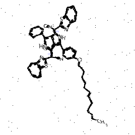 [C-]#[N+]/C(c1nc2ccccc2s1)=c1/[nH]c(-c2ccc(OCCCCCCCCCCCC)cc2)c2/c(=C(\C#N)c3nc4ccccc4s3)[nH]c(-c3ccccc3)c12